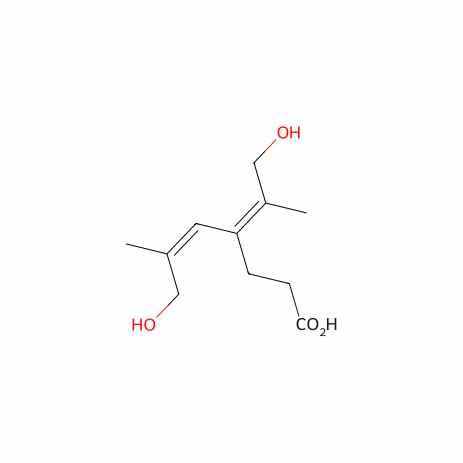 C/C(=C/C(CCC(=O)O)=C(/C)CO)CO